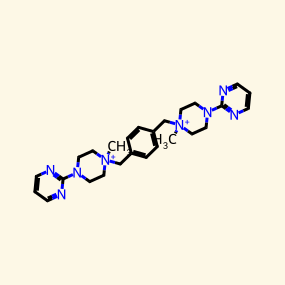 C[N+]1(Cc2ccc(C[N+]3(C)CCN(c4ncccn4)CC3)cc2)CCN(c2ncccn2)CC1